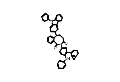 O=C1CCC(c2ccc3c(c2)c2ccccc2n3-c2ccccc2)c2ccccc2C(=O)N1c1ccc(Nc2ccccc2)c(-c2cccc3c2C3)c1